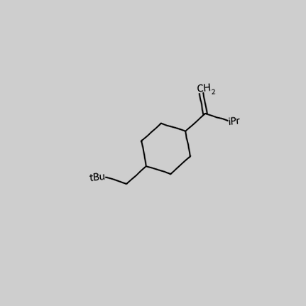 C=C(C(C)C)C1CCC(CC(C)(C)C)CC1